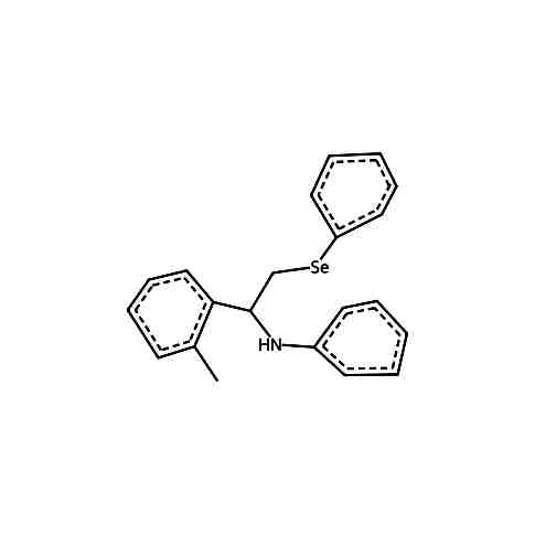 Cc1ccccc1C(C[Se]c1ccccc1)Nc1ccccc1